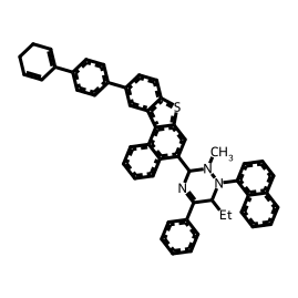 CCC1C(c2ccccc2)=NC(c2cc3sc4ccc(-c5ccc(C6=CCCC=C6)cc5)cc4c3c3ccccc23)N(C)N1c1cccc2ccccc12